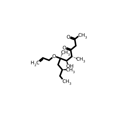 C=CCO[C@](C)(C[C@@H](C)CC)[C@H](O)[C@@H](C)C(=O)CC(C)=O